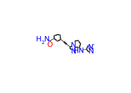 Cn1cc(Nc2cccn3c(C#Cc4cccc(C(N)=O)c4)cnc23)cn1